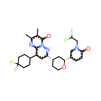 Cc1nc2c(C3CCC(F)(F)CC3)cc([C@H]3CCO[C@@H](c4ccc(=O)n(CC(F)F)c4)C3)nn2c(=O)c1C